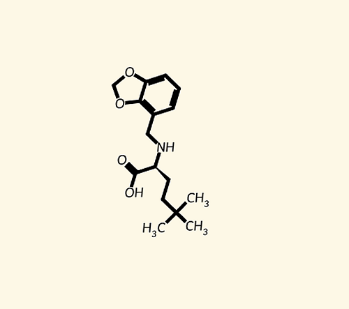 CC(C)(C)CC[C@H](NCc1cccc2c1OCO2)C(=O)O